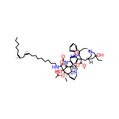 CCCCC/C=C\C/C=C\CCCCCCCCNC(=O)[C@@]1(O)[C@H](OC(C)=O)[C@]2(CC)C=CCN3CC[C@@]4(c5cc([C@@]6(C(=O)OC)C[C@@H]7C[N@](CCc8c6[nH]c6ccccc86)C[C@](O)(CC)C7)c(OC)cc5N(C=O)[C@@H]14)[C@@H]32